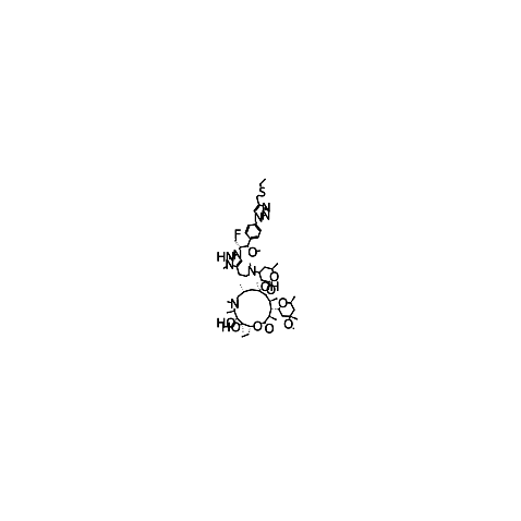 CCSCc1cn(-c2ccc([C@@H](OC)[C@@H](CF)N3C=C(CCN(C)[C@@H]4C[C@H](O[C@@H]5[C@@H](C)[C@H](C6C[C@@](C)(OC)C[C@H](C)O6)[C@@H](C)C(=O)O[C@H](CC)[C@@](C)(O)[C@H](O)[C@@H](C)N(C)C[C@H](C)C[C@@]5(C)O)O[C@H](C)C4)N(C)N3)cc2)nn1